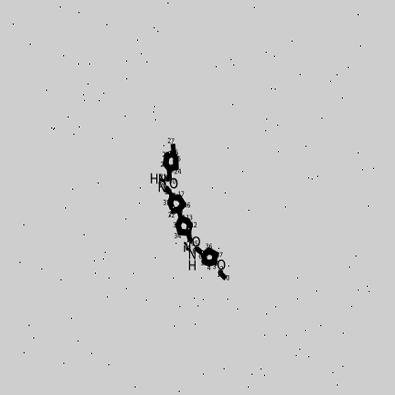 CCOc1ccc(C2NN=C(c3ccc(-c4ccc(C5=NNC(c6ccc(C)cc6)O5)cc4)cc3)O2)cc1